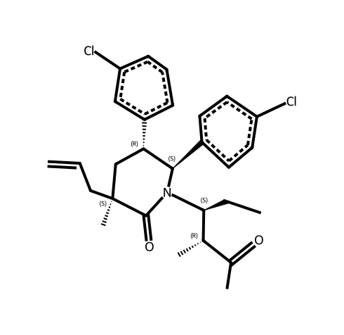 C=CC[C@@]1(C)C[C@H](c2cccc(Cl)c2)[C@@H](c2ccc(Cl)cc2)N([C@@H](CC)[C@@H](C)C(C)=O)C1=O